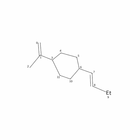 C=C(C)C1CCC(C=CCC)CC1